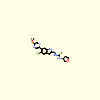 COc1cnc(-c2cc3[nH]c(CNC(=O)N[C@H]4CCOC4)cc3cc2Cl)cn1